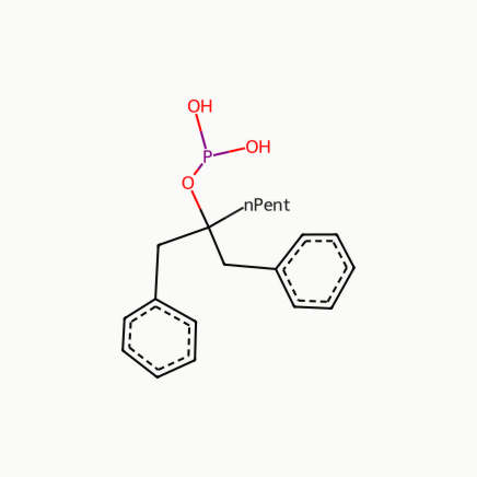 CCCCCC(Cc1ccccc1)(Cc1ccccc1)OP(O)O